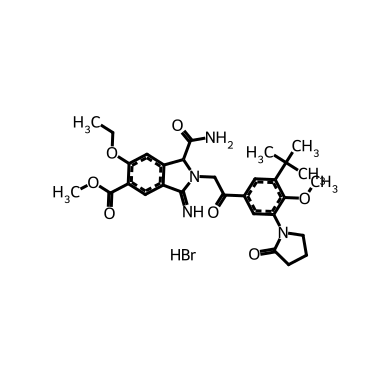 Br.CCOc1cc2c(cc1C(=O)OC)C(=N)N(CC(=O)c1cc(N3CCCC3=O)c(OC)c(C(C)(C)C)c1)C2C(N)=O